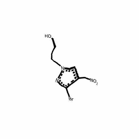 O=[N+]([O-])c1cn(CCO)nc1Br